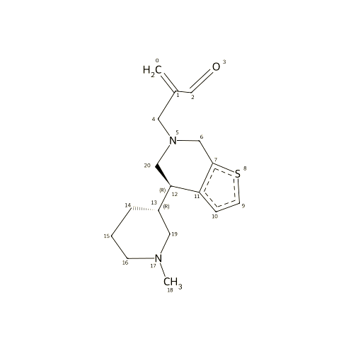 C=C(C=O)CN1Cc2sccc2[C@@H]([C@H]2CCCN(C)C2)C1